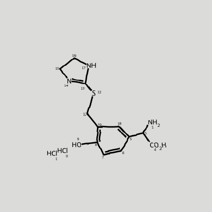 Cl.Cl.NC(C(=O)O)c1ccc(O)c(CSC2=NCCN2)c1